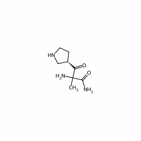 CC(N)(C(N)=O)C(=O)[C@@H]1CCNC1